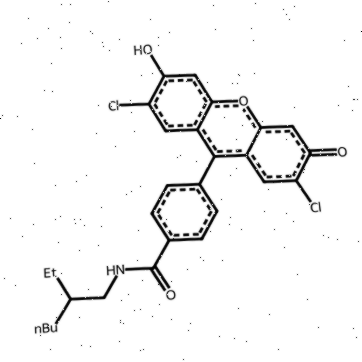 CCCCC(CC)CNC(=O)c1ccc(-c2c3cc(Cl)c(=O)cc-3oc3cc(O)c(Cl)cc23)cc1